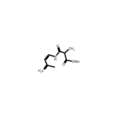 C=C(I)/C=C\NC(=O)C(C)C(=O)OC